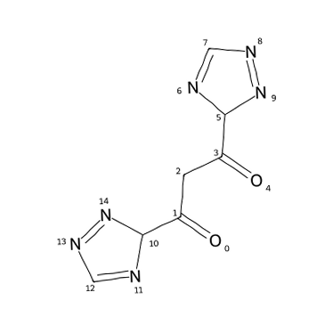 O=C(CC(=O)C1N=CN=N1)C1N=CN=N1